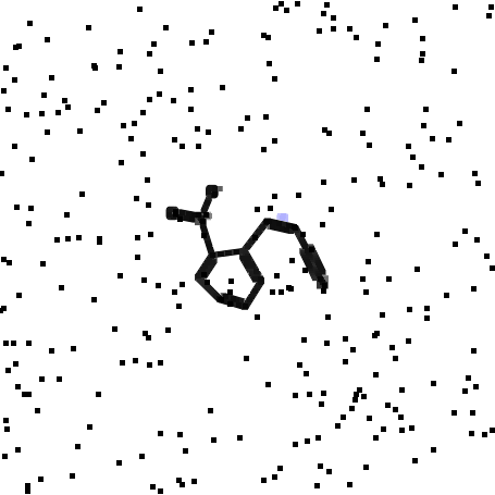 N#C/C=C\c1ccccc1[N+](=O)[O-]